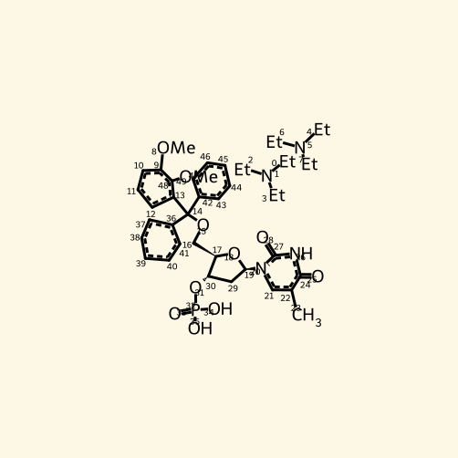 CCN(CC)CC.CCN(CC)CC.COc1cccc(C(OC[C@H]2O[C@@H](n3cc(C)c(=O)[nH]c3=O)C[C@@H]2OP(=O)(O)O)(c2ccccc2)c2ccccc2)c1OC